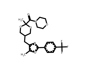 Cc1oc(-c2ccc(C(F)(F)F)cc2)nc1CC1COC(C)(C(=O)N2CCOCC2)OC1